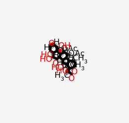 CC(=O)O[C@H]1[C@H]2[C@@H](C(=O)[C@H](O)[C@@]3(O)C[C@@H]4O[C@@H]4[C@H](O)[C@]23C)[C@@H]2[C@@H](O)[C@@H]3[C@H]([C@H](C)C=C4OC(=O)[C@@](C)(O)[C@@]43C)[C@@]2(C)[C@H]1OC(C)=O